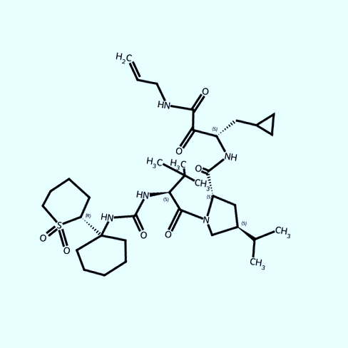 C=CCNC(=O)C(=O)[C@H](CC1CC1)NC(=O)[C@@H]1C[C@@H](C(C)C)CN1C(=O)[C@@H](NC(=O)NC1([C@H]2CCCCS2(=O)=O)CCCCC1)C(C)(C)C